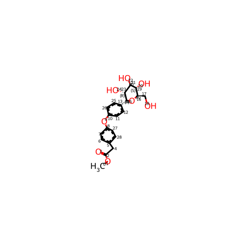 COC(=O)Cc1ccc(Oc2ccc([C@H]3O[C@H](CO)[C@@H](O)[C@H](O)[C@H]3O)cc2)cc1